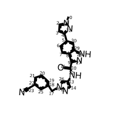 Cn1ccc(-c2ccc3c(C(=O)Nc4cnn(Cc5cccc(C#N)c5)c4)n[nH]c3c2)n1